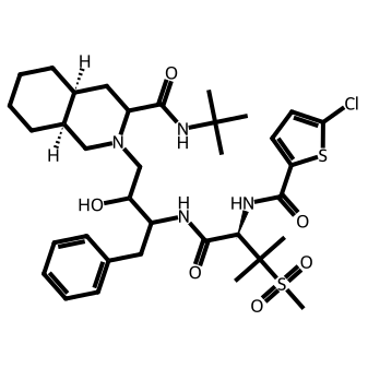 CC(C)(C)NC(=O)C1C[C@@H]2CCCC[C@@H]2CN1CC(O)C(Cc1ccccc1)NC(=O)[C@@H](NC(=O)c1ccc(Cl)s1)C(C)(C)S(C)(=O)=O